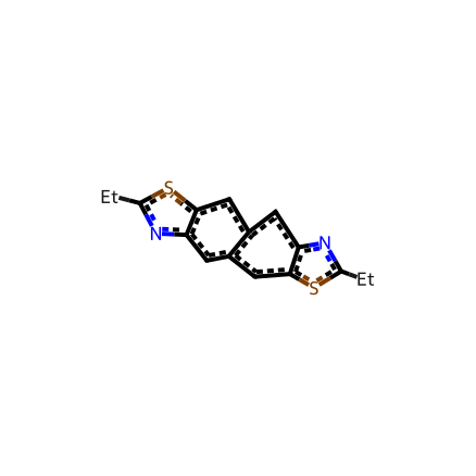 CCc1nc2cc3cc4sc(CC)nc4cc3cc2s1